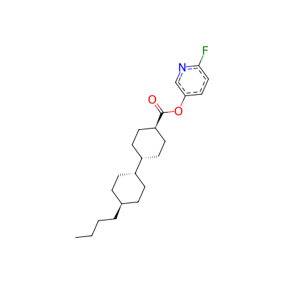 CCCC[C@H]1CC[C@H]([C@H]2CC[C@H](C(=O)Oc3ccc(F)nc3)CC2)CC1